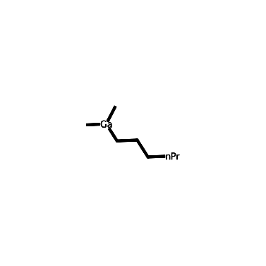 CCCCC[CH2][Ga]([CH3])[CH3]